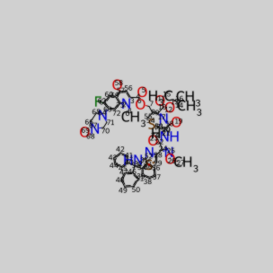 CCn1c(C(=O)OCC2=C(C(=O)OC(C)(C)C)N3C(=O)[C@@H](NC(=O)C(=NOC)c4csc(NC(c5ccccc5)(c5ccccc5)c5ccccc5)n4)[C@H]3SC2)cc(=O)c2cc(F)c(N3CCN(C=O)CC3)cc21